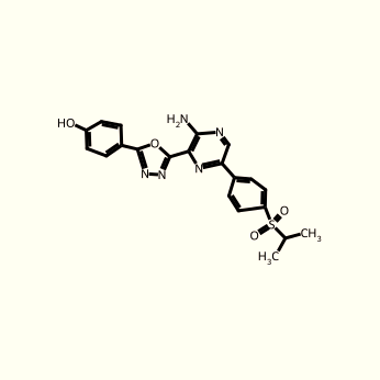 CC(C)S(=O)(=O)c1ccc(-c2cnc(N)c(-c3nnc(-c4ccc(O)cc4)o3)n2)cc1